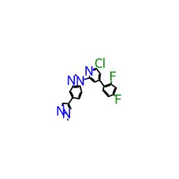 Cn1cc(-c2ccc3c(c2)ncn3-c2cc(-c3ccc(F)cc3F)cc(Cl)n2)cn1